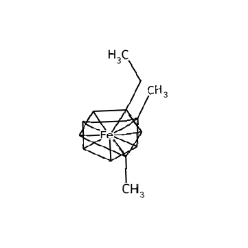 CC[C]12[CH]3[CH]4[C]5(C)[CH]1[Fe]43521678[CH]2[CH]1[CH]6[C]7(C)[CH]28